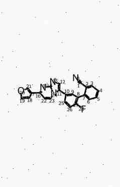 N#Cc1ccccc1-c1cc(-c2cnc3nc(-c4ccoc4)ccn23)ccc1F